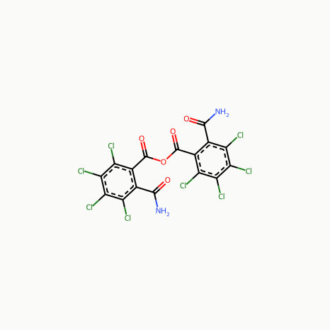 NC(=O)c1c(Cl)c(Cl)c(Cl)c(Cl)c1C(=O)OC(=O)c1c(Cl)c(Cl)c(Cl)c(Cl)c1C(N)=O